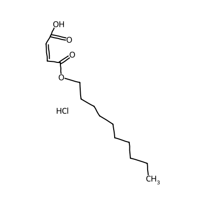 CCCCCCCCCCOC(=O)/C=C\C(=O)O.Cl